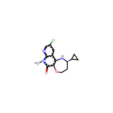 Cn1c(=O)c2c(c3cc(Cl)cnc31)N[C@@H](C1CC1)CCO2